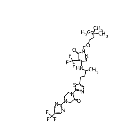 CC(CCc1cnc(N2CCN(c3ncc(C(F)(F)F)cn3)CC2=O)s1)Nc1cnn(COCC[Si](C)(C)C)c(=O)c1C(F)(F)F